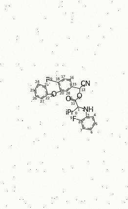 CC(C)C(Nc1ccccc1F)C(=O)OC(C#N)c1ccc(F)c(Oc2ccccc2)c1